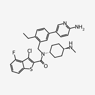 CCc1ccc(-c2ccc(N)nc2)cc1CN(C(=O)c1sc2cccc(F)c2c1Cl)[C@H]1CC[C@H](NC)CC1